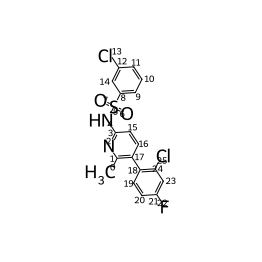 Cc1nc(NS(=O)(=O)c2cccc(Cl)c2)ccc1-c1ccc(F)cc1Cl